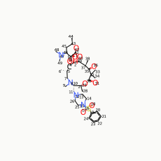 CO[C@]1(C)C[C@@H](C)CN(C)[C@@H](CN2CCN(S(=O)(=O)c3ccccc3)CC2)[C@H](C)OC(=O)C(C)(C)C(=O)[C@H](C)[C@H]1O[C@@H]1O[C@H](C)C[C@H](N(C)C)[C@H]1O